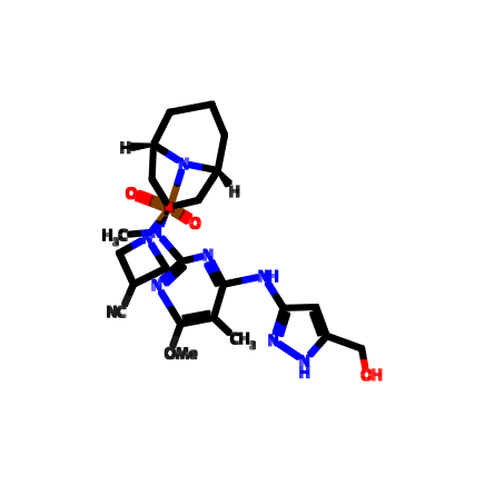 COc1nc(N(C)[C@@H]2C[C@H]3CCC[C@@H](C2)N3S(=O)(=O)N2CC(C#N)C2)nc(Nc2cc(CO)[nH]n2)c1C